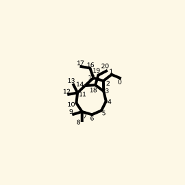 CCC1C2CCCC(C)(C)CC(C)(C)C(C1CC)C2CC